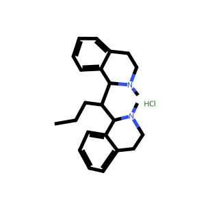 CCCC(C1c2ccccc2CCN1C)C1c2ccccc2CCN1C.Cl